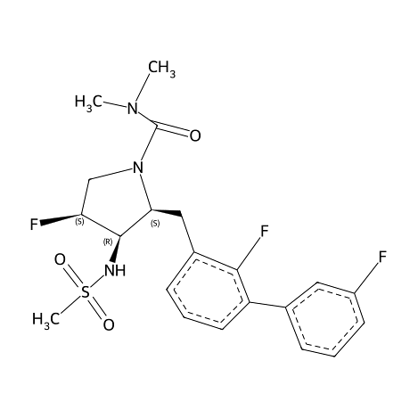 CN(C)C(=O)N1C[C@H](F)[C@H](NS(C)(=O)=O)[C@@H]1Cc1cccc(-c2cccc(F)c2)c1F